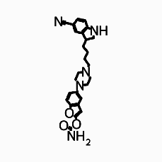 N#Cc1ccc2c(c1)C(CCCCN1CCN(c3ccc4oc(OC(N)=O)cc4c3)CC1)CN2